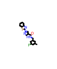 Cc1cc(F)cc(CNC(=O)c2cnn(-c3nc4ccccc4s3)c2)c1